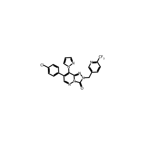 O=c1n(Cc2ccc(C(F)(F)F)nc2)nc2c(-n3cccn3)c(-c3ccc(Cl)cc3)cnn12